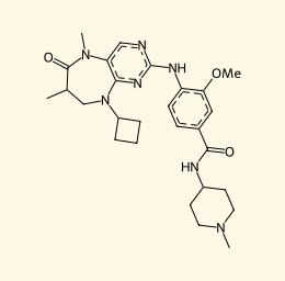 COc1cc(C(=O)NC2CCN(C)CC2)ccc1Nc1ncc2c(n1)N(C1CCC1)CC(C)C(=O)N2C